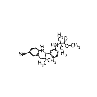 COC(=O)C(C)(C)Nc1cccc(C2Nc3ccc(C#N)cc3CC2(C)C)c1